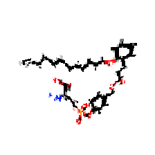 CCCCCCCCCCCOc1ccccc1CCC(=O)OCc1ccc(OP(=O)(O)OC[C@H](N)C(=O)O)cc1